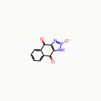 O=C1c2ccccc2C(=O)c2[nH][n+]([O-])nc21